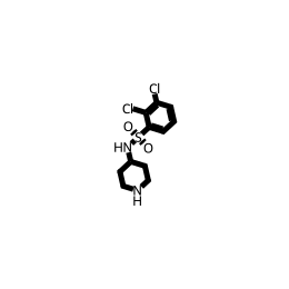 O=S(=O)(NC1CCNCC1)c1cccc(Cl)c1Cl